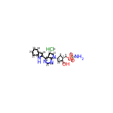 Cl.NS(=O)(=O)OC[C@@H]1C[C@@H](n2ccc3c(-c4cc5ccccc5[nH]4)ncnc32)C[C@@H]1O